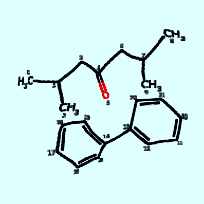 CC(C)CC(=O)CC(C)C.c1ccc(-c2ccccc2)cc1